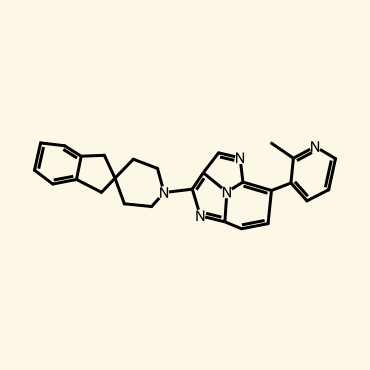 Cc1ncccc1-c1ccc2nc(N3CCC4(CC3)Cc3ccccc3C4)c3cnc1n23